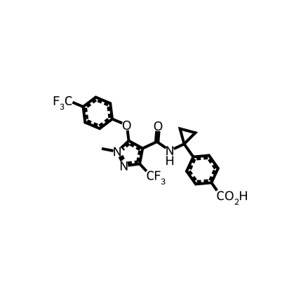 Cn1nc(C(F)(F)F)c(C(=O)NC2(c3ccc(C(=O)O)cc3)CC2)c1Oc1ccc(C(F)(F)F)cc1